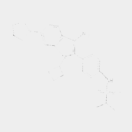 CC(C)S(=O)(=O)Nc1ccc(-c2c(N)c3ccc(N4CCCC4)cc3n2C2CCC2)cc1